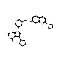 C[C@H]1CCN1c1ccc2ccc(OCc3cncc(-n4cc(C5CCCC5)c5c(N)ncnc54)c3)cc2n1